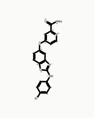 CCc1ccc(Nc2nc3cc(Oc4ccnc(C(=O)NC)c4)ccc3o2)cc1